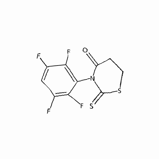 O=C1CCSC(=S)N1c1c(F)c(F)cc(F)c1F